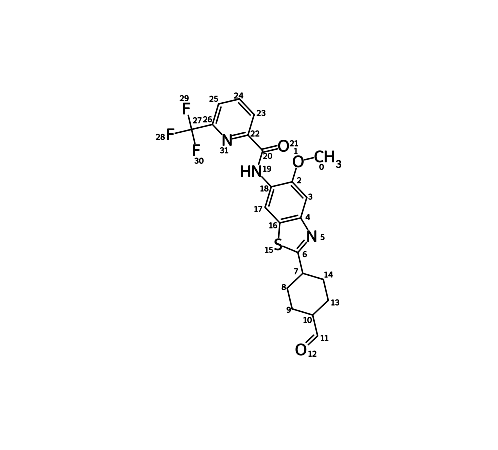 COc1cc2nc(C3CCC(C=O)CC3)sc2cc1NC(=O)c1cccc(C(F)(F)F)n1